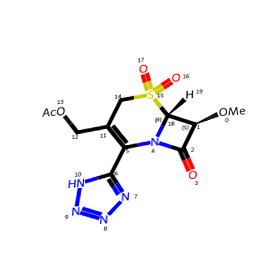 CO[C@H]1C(=O)N2C(c3nnn[nH]3)=C(COC(C)=O)CS(=O)(=O)[C@H]12